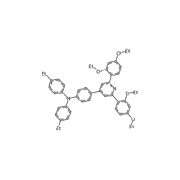 CCOc1ccc(-c2cc(-c3ccc(N(c4ccc(CC)cc4)c4ccc(CC)cc4)cc3)cc(-c3ccc(OCC)cc3OCC)n2)c(OCC)c1